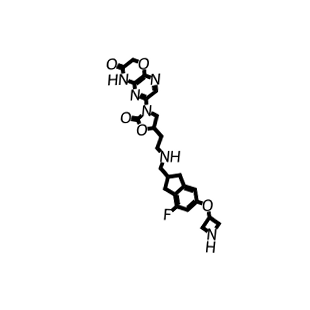 O=C1COc2ncc(N3CC(CCNCC4Cc5cc(OC6CNC6)cc(F)c5C4)OC3=O)nc2N1